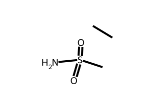 CC.CS(N)(=O)=O